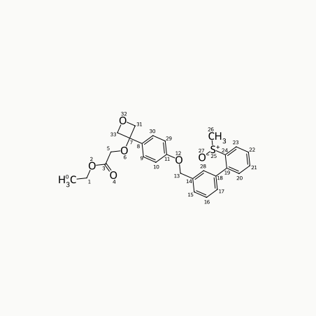 CCOC(=O)COC1(c2ccc(OCc3cccc(-c4ccccc4[S+](C)[O-])c3)cc2)COC1